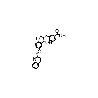 O=C(O)c1cccc(C[C@@H]2COc3ccc(OCc4ccc5ccccc5n4)cc3[C@@H]2O)c1